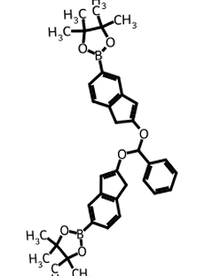 CC1(C)OB(c2ccc3c(c2)C=C(OC(OC2=Cc4cc(B5OC(C)(C)C(C)(C)O5)ccc4C2)c2ccccc2)C3)OC1(C)C